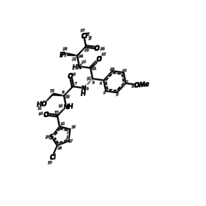 COc1ccc([C@H](NC(=O)[C@H](CO)NC(=O)c2ccc(Cl)s2)C(=O)N[C@H](C(=O)C(F)(F)F)C(C)C)cc1